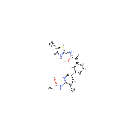 C=CC(=O)Nc1ncc(-c2cccc(C(C)C(=O)Nc3ncc(C(F)(F)F)s3)c2)cc1C#N